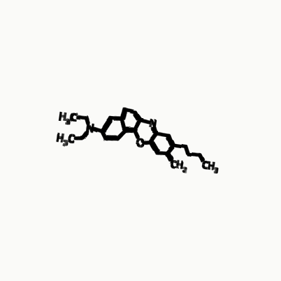 C=c1cc2c(cc1CCCC)=Nc1ccc3cc(N(CC)CC)ccc3c1O2